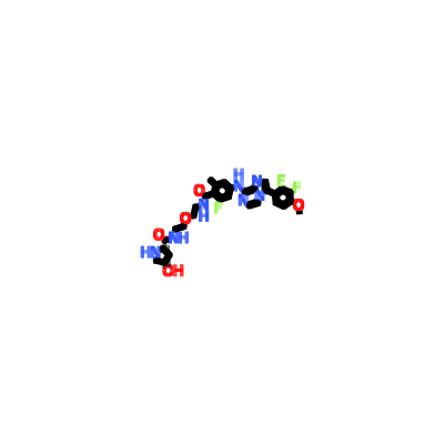 COc1ccc(-c2cnc3c(Nc4cc(C)c(C(=O)NCCOCCNC(=O)[C@@H]5C[C@@H](O)CN5)c(F)c4)nccn23)c(F)c1F